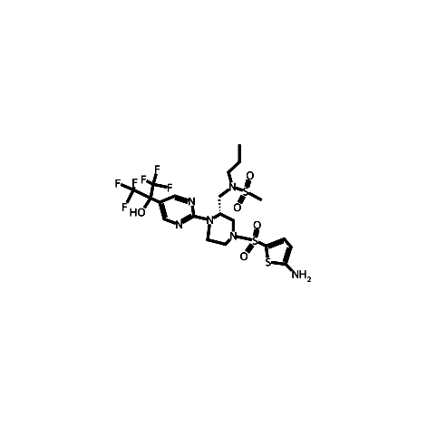 CCCN(C[C@@H]1CN(S(=O)(=O)c2ccc(N)s2)CCN1c1ncc(C(O)(C(F)(F)F)C(F)(F)F)cn1)S(C)(=O)=O